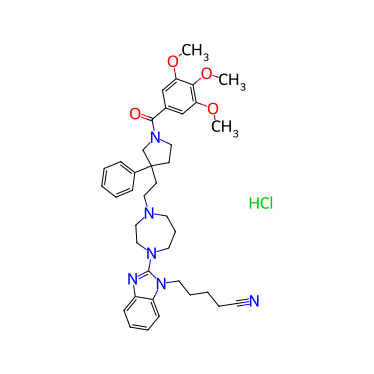 COc1cc(C(=O)N2CCC(CCN3CCCN(c4nc5ccccc5n4CCCCC#N)CC3)(c3ccccc3)C2)cc(OC)c1OC.Cl